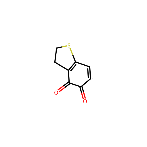 O=C1[C]=CC2=C(CCS2)C1=O